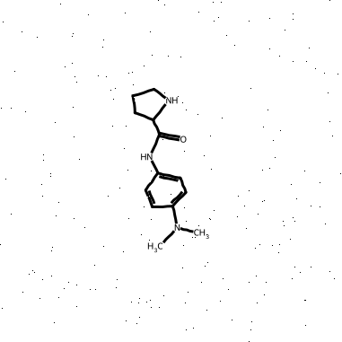 CN(C)c1ccc(NC(=O)C2CCCN2)cc1